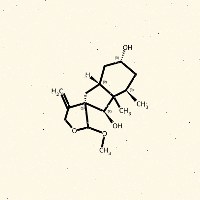 C=C1COC(OC)[C@@]12C[C@@H]1C[C@H](O)C[C@@H](C)C1(C)[C@H]2O